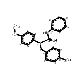 CCCCOc1ccc(N(Cc2ccc(C(C)(C)C)cc2)C(=N)Nc2ccccc2)cc1